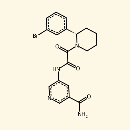 NC(=O)c1cncc(NC(=O)C(=O)N2CCCC[C@H]2c2cccc(Br)c2)c1